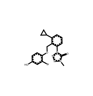 Cn1nnn(-c2cccc(C3CC3)c2COc2ccc(O)cc2Br)c1=O